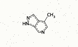 Cc1cncc2[nH]ncc12